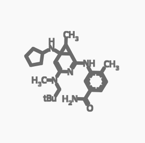 Cc1ccc(C(N)=O)cc1NC1=NC(N(C)CC(C)(C)C)=CC2(NC3CCCC3)C(C)C12